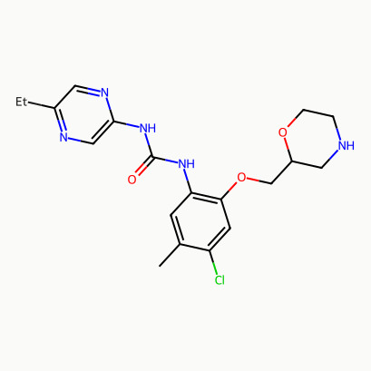 CCc1cnc(NC(=O)Nc2cc(C)c(Cl)cc2OCC2CNCCO2)cn1